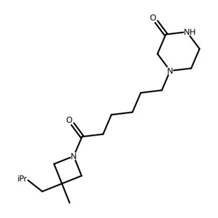 CC(C)CC1(C)CN(C(=O)CCCCCN2CCNC(=O)C2)C1